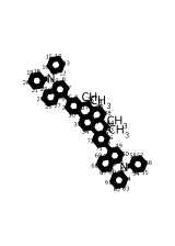 CC1(C)c2cc(-c3ccc(N(c4ccccc4)c4ccccc4)c4ccccc34)ccc2-c2ccc3c4c(ccc1c24)C(C)(C)c1cc(-c2ccc(N(c4ccccc4)c4ccccc4)c4ccccc24)ccc1-3